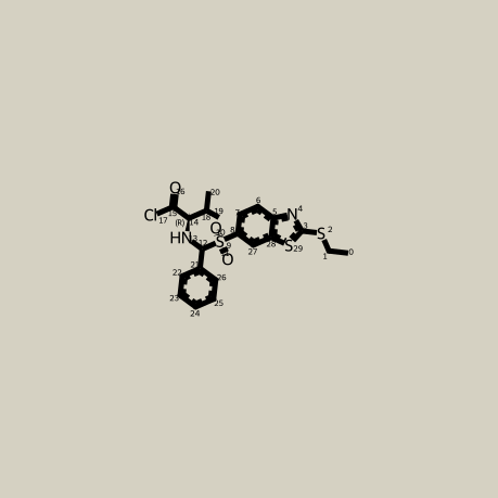 CCSc1nc2ccc(S(=O)(=O)C(N[C@@H](C(=O)Cl)C(C)C)c3ccccc3)cc2s1